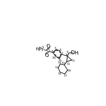 CCCS(=O)(=O)c1ccc(C2(CO)CC2C2CCCCC2)cc1